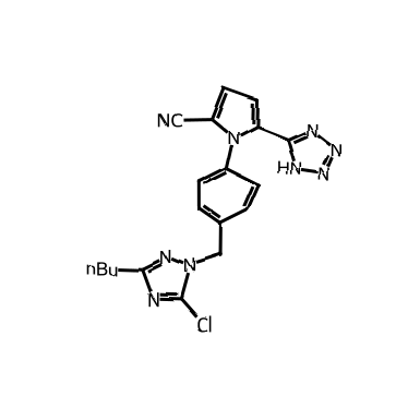 CCCCc1nc(Cl)n(Cc2ccc(-n3c(C#N)ccc3-c3nnn[nH]3)cc2)n1